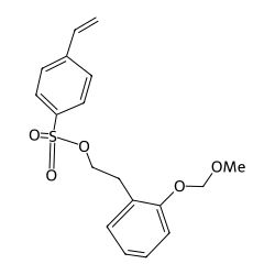 C=Cc1ccc(S(=O)(=O)OCCc2ccccc2OCOC)cc1